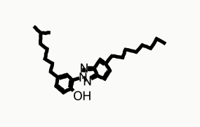 CCCCCCCCc1ccc2nn(-c3cc(CCCCCC(C)C)ccc3O)nc2c1